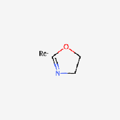 C1=NCCO1.[Re]